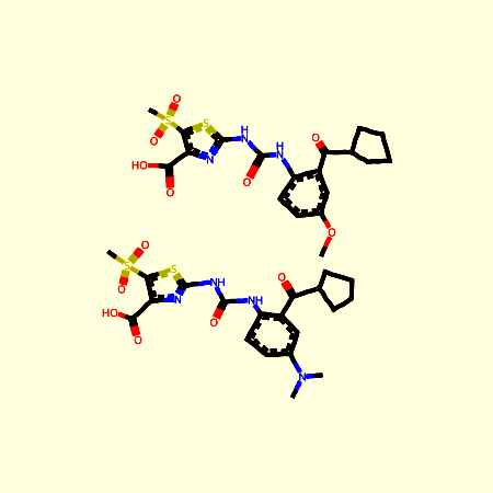 CN(C)c1ccc(NC(=O)Nc2nc(C(=O)O)c(S(C)(=O)=O)s2)c(C(=O)C2CCCC2)c1.COc1ccc(NC(=O)Nc2nc(C(=O)O)c(S(C)(=O)=O)s2)c(C(=O)C2CCCC2)c1